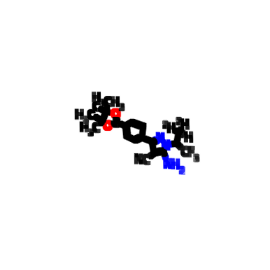 [2H]C([2H])([2H])C(n1nc(-c2ccc(B3OC(C)(C)C(C)(C)O3)cc2)c(C#N)c1N)C(F)(F)F